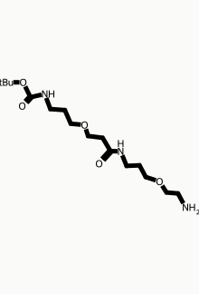 CC(C)(C)OC(=O)NCCCOCCC(=O)NCCCOCCN